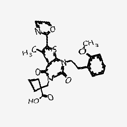 COc1ccccc1CCn1c(=O)n(CC2(C(=O)O)CCC2)c(=O)c2c(C)c(-c3ncco3)sc21